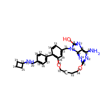 Nc1nc2nc3c1nc(O)n3Cc1ccc(-c3ccc(CNC4CCC4)cc3)c(c1)OCCCCO2